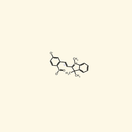 C[N+]1=C(/C=C/c2cc([O-])ccc2[N+](=O)[O-])C(C)(C)c2ccccc21